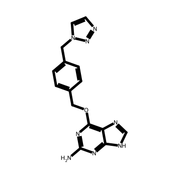 Nc1nc(OCc2ccc(Cn3ccnn3)cc2)c2nc[nH]c2n1